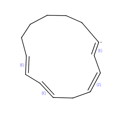 [C]1=C/C=C\C/C=C/C=C/CCCCC/1